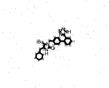 CCC(C)c1c(CC2CCCCC2)[nH]c(=O)n1Cc1ccc(-c2ccccc2-c2nnn[nH]2)cc1